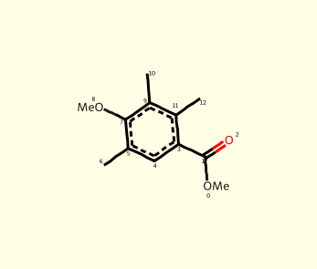 COC(=O)c1cc(C)c(OC)c(C)c1C